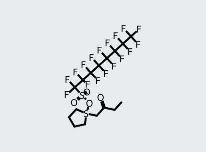 CCC(=O)CS1(OS(=O)(=O)C(F)(F)C(F)(F)C(F)(F)C(F)(F)C(F)(F)C(F)(F)C(F)(F)C(F)(F)F)CCCC1